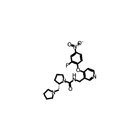 O=C(NCc1cnccc1Oc1ccc([N+](=O)[O-])cc1F)N1CCC[C@H]1CN1CCCC1